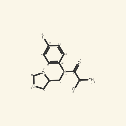 CC(Cl)C(=O)N(CC1COCO1)c1ccc(F)cc1